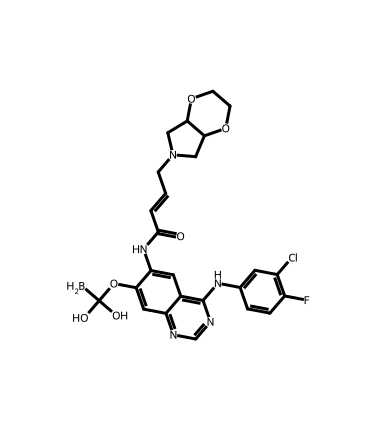 BC(O)(O)Oc1cc2ncnc(Nc3ccc(F)c(Cl)c3)c2cc1NC(=O)/C=C/CN1CC2OCCOC2C1